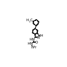 CCCNC(=O)Nc1n[nH]c2cc(-c3cccc(C)c3)ccc12